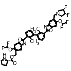 Cc1c(-c2nc3cc(COC(=O)[C@@H]4CCCN4)c(OC(F)F)cc3o2)cccc1-c1cccc(-c2nc3cc(CN4C[C@@H](F)[C@H](F)C4)c(OC(F)F)cc3o2)c1C